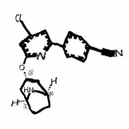 N#Cc1ccc(-c2cc(Cl)cc(O[C@@H]3C[C@H]4CC[C@@H](C3)N4)n2)cc1